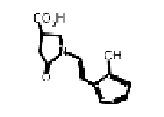 O=C(O)C1CC(=O)N(C=Cc2ccccc2O)C1